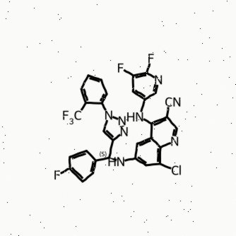 N#Cc1cnc2c(Cl)cc(N[C@@H](c3ccc(F)cc3)c3cn(-c4ccccc4C(F)(F)F)nn3)cc2c1Nc1cnc(F)c(F)c1